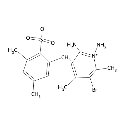 Cc1cc(C)c(S(=O)(=O)[O-])c(C)c1.Cc1cc(N)[n+](N)c(C)c1Br